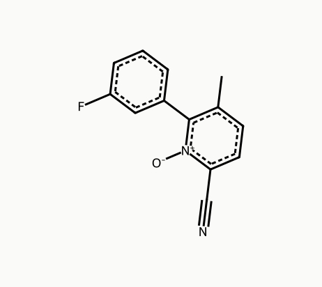 Cc1ccc(C#N)[n+]([O-])c1-c1cccc(F)c1